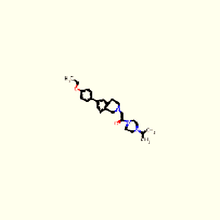 CCOc1ccc(-c2ccc3c(c2)CCN(CC(=O)N2CCN(C(C)C)CC2)C3)cc1